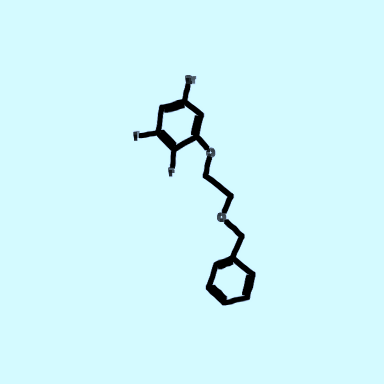 Fc1cc(Br)cc(OCCOCc2ccccc2)c1F